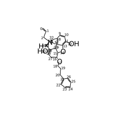 C=CCN1CC[C@]23c4c5ccc(O)c4OC2C(OCCCc2ccccc2)CC[C@@]3(O)[C@H]1C5